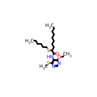 CCCCCCCCC(SCCCCCC)C(=O)Nc1c(OCC)ncnc1SC